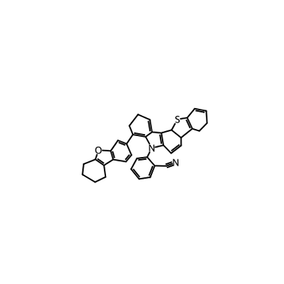 N#Cc1ccccc1-n1c2c(c3c1=C(c1ccc4c5c(oc4c1)CCCC5)CCC=3)C1SC3=C(CCC=C3)C1C=C2